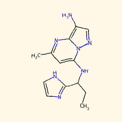 CCC(Nc1cc(C)nc2c(N)cnn12)c1ncc[nH]1